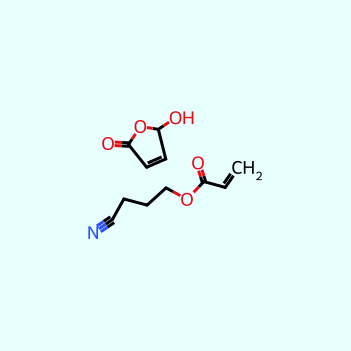 C=CC(=O)OCCCC#N.O=C1C=CC(O)O1